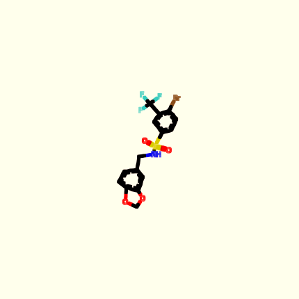 O=S(=O)(NCc1ccc2c(c1)OCO2)c1ccc(Br)c(C(F)(F)F)c1